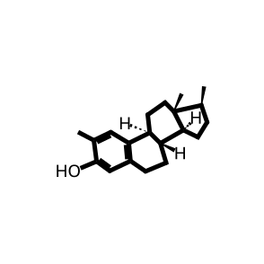 Cc1cc2c(cc1O)CC[C@@H]1[C@@H]2CC[C@]2(C)[C@@H](C)CC[C@@H]12